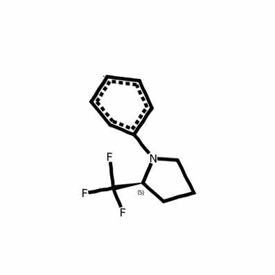 FC(F)(F)[C@@H]1CCCN1c1cc[c]cc1